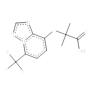 CC(C)(Sc1ccc(C(F)(F)F)n2ncnc12)C(=O)O